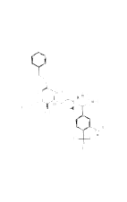 COC(=O)[C@H](CCP(=O)(O)C(O)c1ccc(C(F)(F)F)c([N+](=O)[O-])c1)NC(=O)OCc1ccccc1